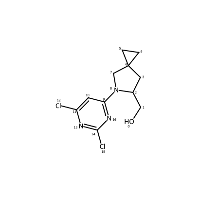 OCC1CC2(CC2)CN1c1cc(Cl)nc(Cl)n1